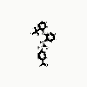 CC(=O)c1ccc(NC(=O)Nc2cccnc2Oc2ccccc2C(C)(C)C)cc1